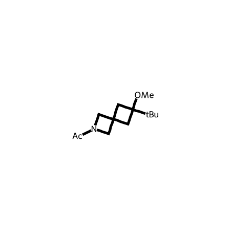 COC1(C(C)(C)C)CC2(CN(C(C)=O)C2)C1